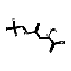 N[C@@H](CC(=O)NCC(F)(F)F)C(=O)O